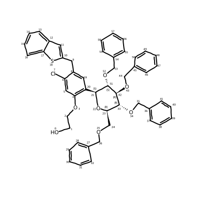 OCCOc1cc(Cl)c(Cc2cc3ccccc3s2)cc1[C@@H]1O[C@H](COCc2ccccc2)[C@@H](OCc2ccccc2)[C@H](OCc2ccccc2)[C@H]1OCc1ccccc1